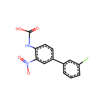 O=C(O)Nc1ccc(-c2cccc(F)c2)cc1[N+](=O)[O-]